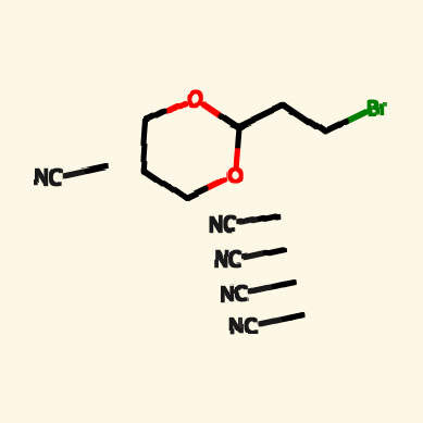 BrCCC1OCCCO1.CC#N.CC#N.CC#N.CC#N.CC#N